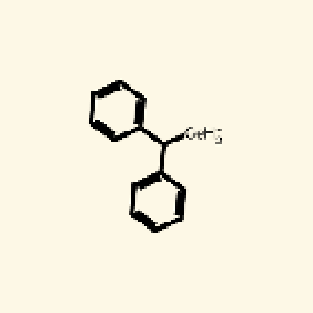 [GeH2-][CH](c1ccccc1)c1ccccc1